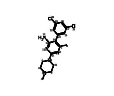 Cc1nc(N2CCN(C)CC2)nc(N)c1-c1cc(Cl)cc(Cl)c1